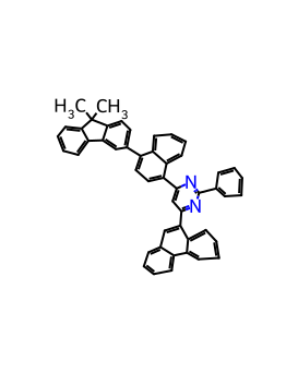 CC1(C)c2ccccc2-c2cc(-c3ccc(-c4cc(-c5cc6ccccc6c6ccccc56)nc(-c5ccccc5)n4)c4ccccc34)ccc21